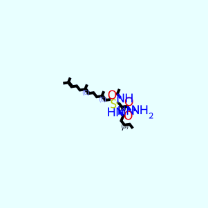 CC[C@H](C)CC(=O)N[C@H](C(=O)NN)C(NC(C)=O)SC/C=C(\C)CC/C=C(\C)CCC=C(C)C